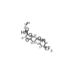 C#CCONC(=O)C(C)Oc1ccc(Oc2ccc(C(F)(F)F)cn2)cc1